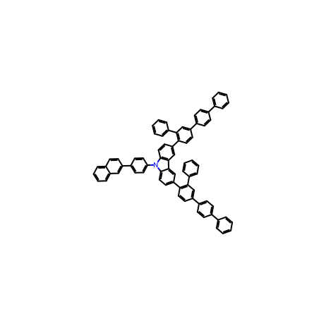 c1ccc(-c2ccc(-c3ccc(-c4ccc5c(c4)c4cc(-c6ccc(-c7ccc(-c8ccccc8)cc7)cc6-c6ccccc6)ccc4n5-c4ccc(-c5ccc6ccccc6c5)cc4)c(-c4ccccc4)c3)cc2)cc1